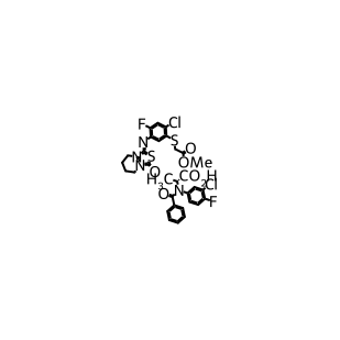 COC(=O)CSc1cc(/N=c2\sc(=O)n3n2CCCC3)c(F)cc1Cl.C[C@H](C(=O)O)N(C(=O)c1ccccc1)c1ccc(F)c(Cl)c1